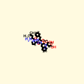 CC(C)CC(N)C(=O)N1CCCC1C(=O)NC(Cc1ccccc1)C(=O)NC(Cc1ccccc1)C(=O)NC(CC(=O)O)C(=O)O